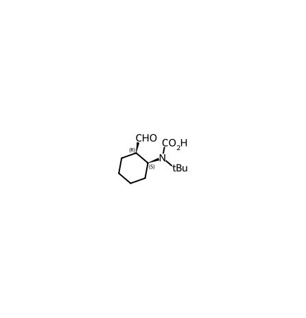 CC(C)(C)N(C(=O)O)[C@H]1CCCC[C@H]1C=O